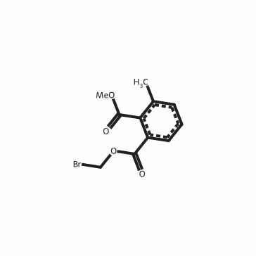 COC(=O)c1c(C)cccc1C(=O)OCBr